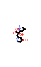 CC(C)CC(N)[C@](O)(Cc1cc(O)ccn1)C(=O)O